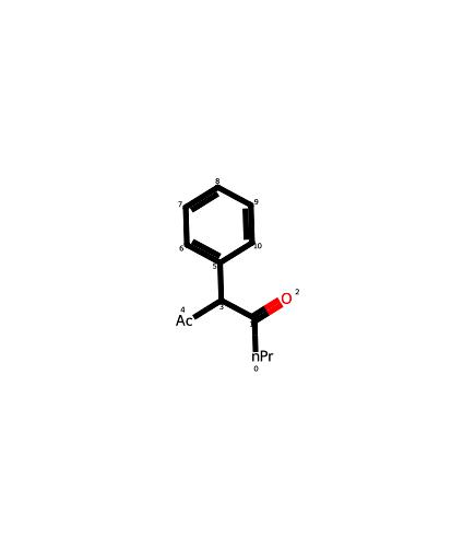 CCCC(=O)C(C(C)=O)c1ccccc1